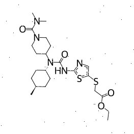 CCOC(=O)CSc1cnc(NC(=O)N(C2CCN(C(=O)N(C)C)CC2)[C@H]2CC[C@H](C)CC2)s1